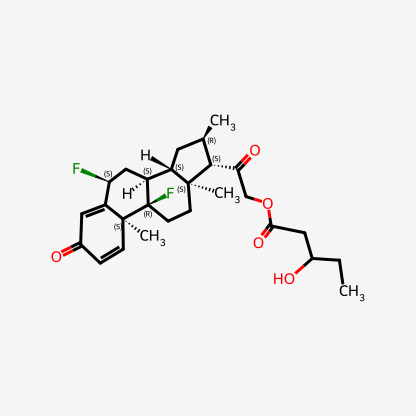 CCC(O)CC(=O)OCC(=O)[C@H]1[C@H](C)C[C@H]2[C@@H]3C[C@H](F)C4=CC(=O)C=C[C@]4(C)[C@@]3(F)CC[C@@]21C